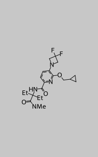 CCC(CC)(NC(=O)c1ccc(N2CC(F)(F)C2)c(OCC2CC2)n1)C(=O)NC